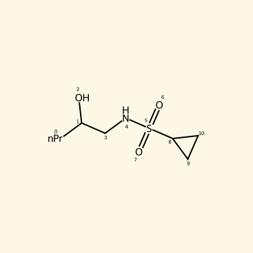 CCCC(O)CNS(=O)(=O)C1CC1